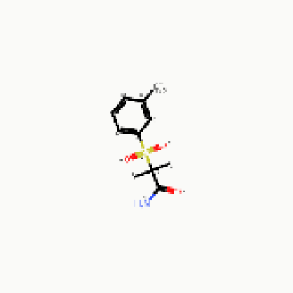 CC(C)(C(N)=O)S(=O)(=O)c1cccc(C(F)(F)F)c1